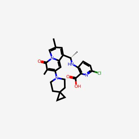 Cc1cc([C@H](C)Nc2ccc(Cl)nc2C(=O)O)c2cc(N3CCC4(CC3)CC4)c(C)c(=O)n2c1